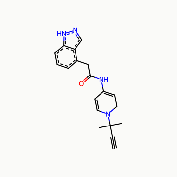 C#CC(C)(C)N1C=CC(NC(=O)Cc2cccc3[nH]ncc23)=CC1